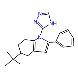 CC(C)(C)C1CCc2c(cc(-c3ccccc3)n2-c2nnc[nH]2)C1